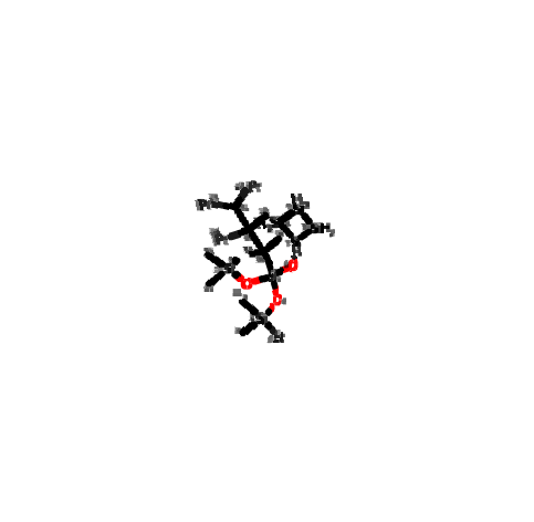 CC[Si](C)(C)O[Si](O[SiH]1[SiH2][SiH2][SiH2]1)(O[Si](C)(C)C)C(C)(C)C(C)([C](C(C)C)C(C)C)C(C)C